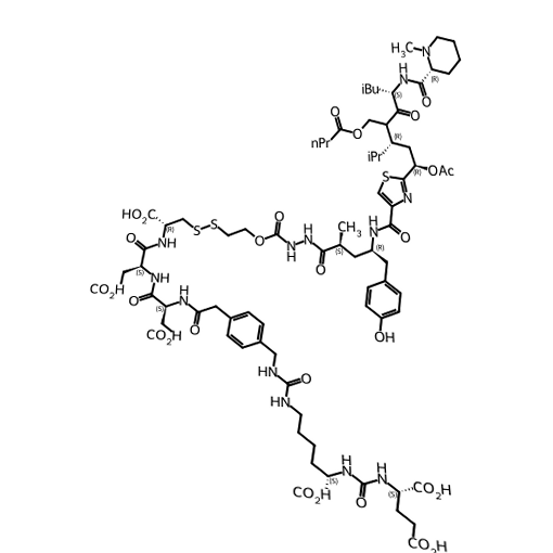 CCCC(=O)OCC(C(=O)[C@@H](NC(=O)[C@H]1CCCCN1C)C(C)CC)[C@H](C[C@@H](OC(C)=O)c1nc(C(=O)N[C@@H](Cc2ccc(O)cc2)C[C@H](C)C(=O)NNC(=O)OCCSSC[C@H](NC(=O)[C@H](CC(=O)O)NC(=O)[C@H](CC(=O)O)NC(=O)Cc2ccc(CNC(=O)NCCCC[C@H](NC(=O)N[C@@H](CCC(=O)O)C(=O)O)C(=O)O)cc2)C(=O)O)cs1)C(C)C